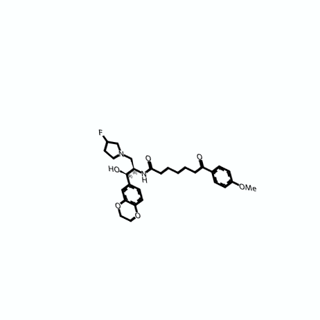 COc1ccc(C(=O)CCCCCC(=O)N[C@H](CN2CCC(F)C2)[C@H](O)c2ccc3c(c2)OCCO3)cc1